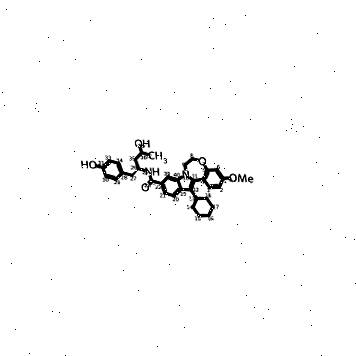 COc1ccc2c(c1)OCCn1c-2c(C2CCCCC2)c2ccc(C(=O)N[C@@H](Cc3ccc(O)cc3)CC(C)O)cc21